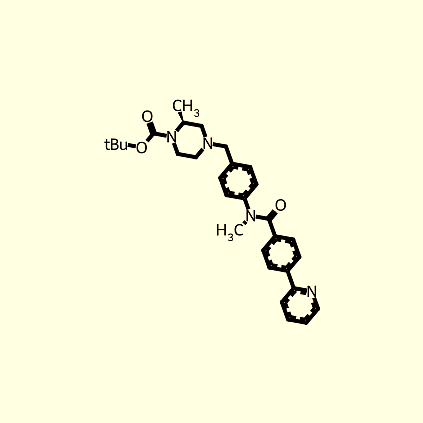 C[C@H]1CN(Cc2ccc(N(C)C(=O)c3ccc(-c4ccccn4)cc3)cc2)CCN1C(=O)OC(C)(C)C